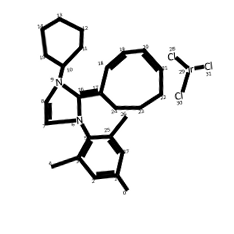 Cc1cc(C)c(N2C=CN(C3CCCCC3)C2=C2C=CC=CCCC2)c(C)c1.[Cl][Ir]([Cl])[Cl]